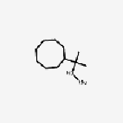 CC(C)(C)BC(C)(C)C1CCCCCCC1